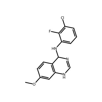 COc1[c]cc2c(c1)NC=NC2Nc1cccc(Cl)c1F